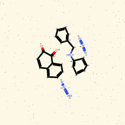 O=C1C=Cc2ccccc2C1=O.[N-]=[N+]=N.[N-]=[N+]=[N-].c1ccc(CNc2ccccc2)cc1